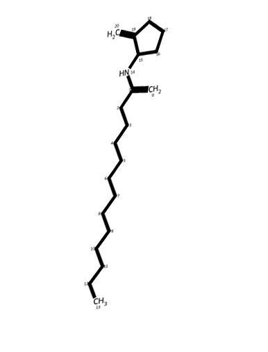 C=C(CCCCCCCCCCCC)NC1CCCC1=C